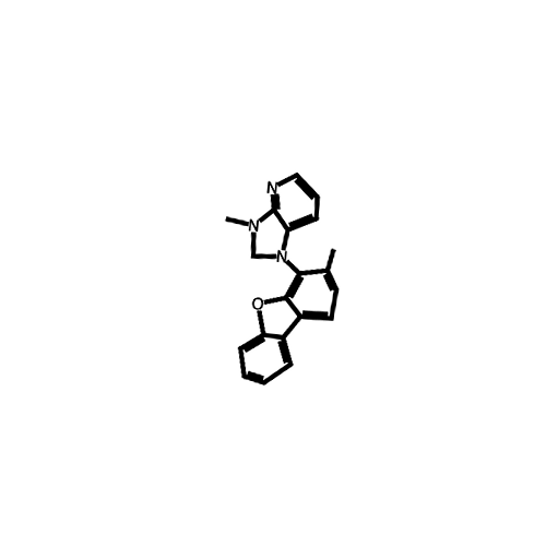 Cc1ccc2c(oc3ccccc32)c1N1CN(C)c2ncccc21